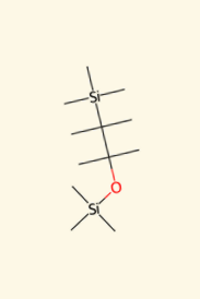 CC(C)(O[Si](C)(C)C)C(C)(C)[Si](C)(C)C